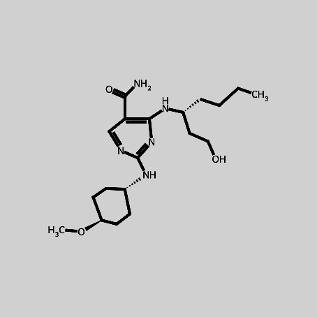 CCCC[C@H](CCO)Nc1nc(N[C@H]2CC[C@H](OC)CC2)ncc1C(N)=O